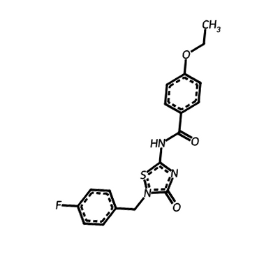 CCOc1ccc(C(=O)Nc2nc(=O)n(Cc3ccc(F)cc3)s2)cc1